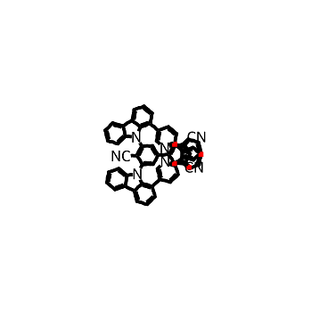 N#Cc1cc(C#N)cc(-c2cc(-n3c4ccccc4c4cccc(-c5ccc(-c6ccccc6)nc5)c43)c(C#N)c(-n3c4ccccc4c4cccc(-c5ccc(-c6ccccc6)nc5)c43)c2)c1